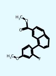 COC(=O)c1ccc2cccc(-c3ccc(OC)cc3F)c2c1